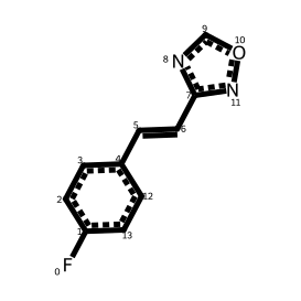 Fc1ccc(C=Cc2ncon2)cc1